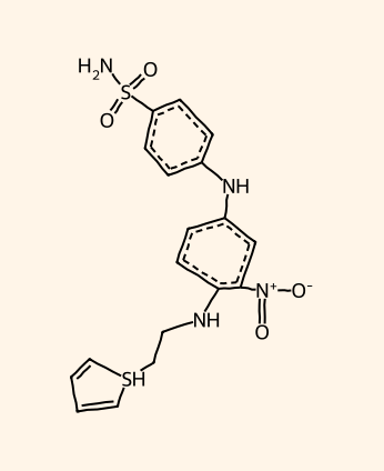 NS(=O)(=O)c1ccc(Nc2ccc(NCC[SH]3C=CC=C3)c([N+](=O)[O-])c2)cc1